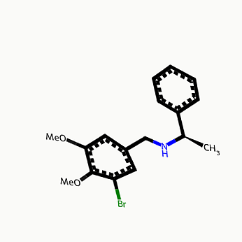 COc1cc(CN[C@H](C)c2ccccc2)cc(Br)c1OC